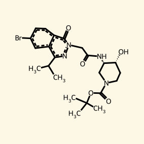 CC(C)c1nn(CC(=O)N[C@H]2CN(C(=O)OC(C)(C)C)CC[C@H]2O)c(=O)c2ccc(Br)cc12